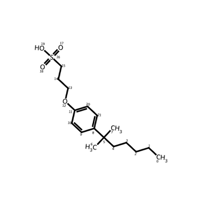 CCCCCC(C)(C)c1ccc(OCCCS(=O)(=O)O)cc1